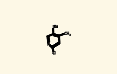 Cc1cc(Cl)ncc1C(C)(C)C